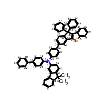 CC1(C)c2ccccc2-c2cc(N(c3ccc(-c4ccccc4)cc3)c3ccc(-c4ccc5c(c4)-c4sc6ccccc6c4C5(c4ccccc4)c4ccccc4)cc3)ccc21